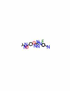 CC(C)c1noc(C2CCC(Oc3ncnc4c3ncn4-c3ccc(C#N)cc3F)CC2)n1